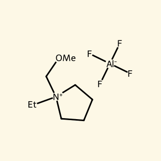 CC[N+]1(COC)CCCC1.[F][Al-]([F])([F])[F]